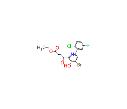 CCOC(=O)CCC(=O)c1nc(-c2cc(F)ccc2Cl)cc(Br)c1O